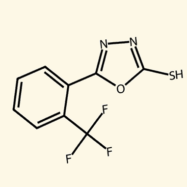 FC(F)(F)c1ccccc1-c1nnc(S)o1